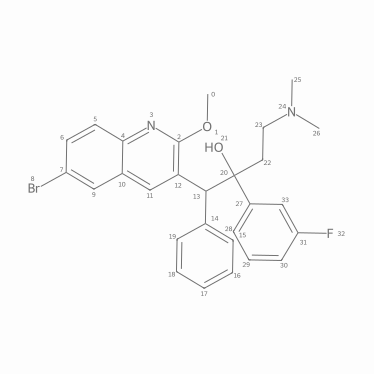 COc1nc2ccc(Br)cc2cc1C(c1ccccc1)C(O)(CCN(C)C)c1cccc(F)c1